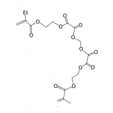 C=C(C)C(=O)OCCOC(=O)C(=O)OCOC(=O)C(=O)OCCOC(=O)C(=C)CC